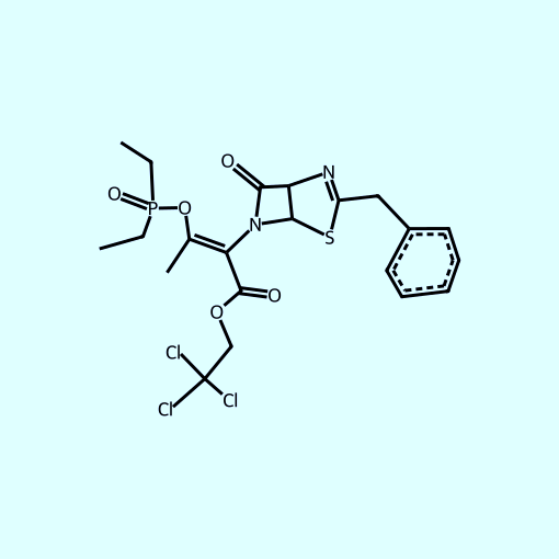 CCP(=O)(CC)OC(C)=C(C(=O)OCC(Cl)(Cl)Cl)N1C(=O)C2N=C(Cc3ccccc3)SC21